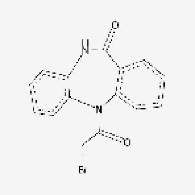 O=C1Nc2ccccc2N(C(=O)CBr)c2ccccc21